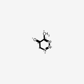 CC1=NN=NCC1=O